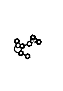 C1=CC(c2cc3c4c(c2)-c2ccccc2C(CCCc2ccc(-c5ccccc5)cc2-3)C4)Cc2c1n1c3ccccc3c3cccc2c31